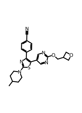 CC1CCN(c2nc(-c3ccc(C#N)cc3)c(-c3cnc(OCC4COC4)nc3)s2)CC1